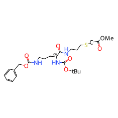 COC(=O)CSCCCNC(=O)[C@H](CCCNC(=O)OCc1ccccc1)NC(=O)OC(C)(C)C